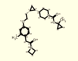 Cc1cc(OCC[C@@H]2C[C@@H]2C2CCN(C(=O)OC3(C)CC3)CC2)ccc1CC(=O)N1CCC1